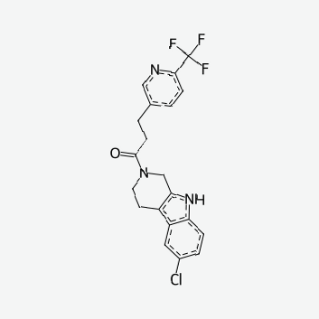 O=C(CCc1ccc(C(F)(F)F)nc1)N1CCc2c([nH]c3ccc(Cl)cc23)C1